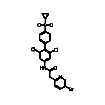 O=C(Cc1ccc(Br)cn1)Nc1cc(Cl)c(-c2ccc(S(=O)(=O)C3CC3)cc2)c(Cl)c1